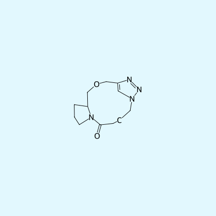 O=C1CCCn2cc(nn2)COCC2CCCN12